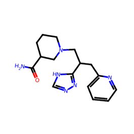 NC(=O)C1CCCN(CC(Cc2ccccn2)c2nnc[nH]2)C1